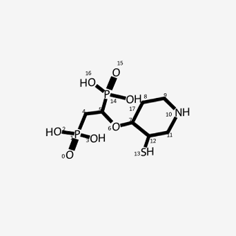 O=P(O)(O)CC(OC1CCNCC1S)P(=O)(O)O